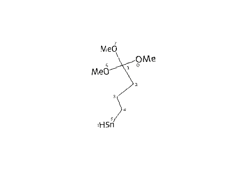 COC(CC[CH2][SnH])(OC)OC